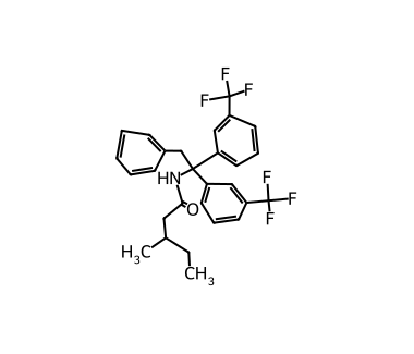 CCC(C)CC(=O)NC(Cc1ccccc1)(c1cccc(C(F)(F)F)c1)c1cccc(C(F)(F)F)c1